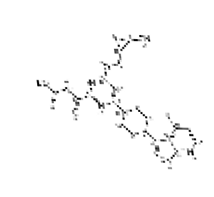 C=C(CC)NC(=O)c1nc(OC[C@H]2C[C@H]2C#N)nc(N2CCC(c3n[nH]c4nccc(C)c34)CC2)n1